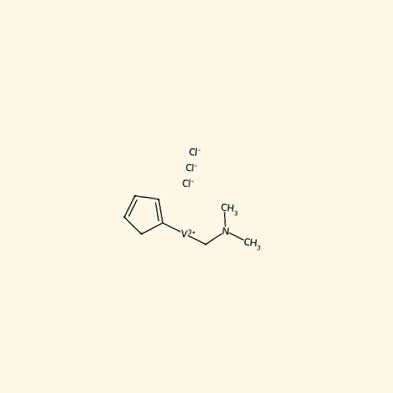 CN(C)[CH2][V+3][C]1=CC=CC1.[Cl-].[Cl-].[Cl-]